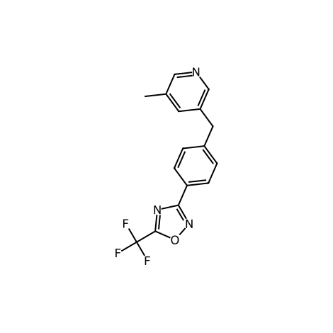 Cc1cncc(Cc2ccc(-c3noc(C(F)(F)F)n3)cc2)c1